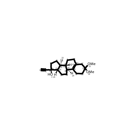 C#C[C@]1(O)CC[C@H]2[C@@H]3CCC4=C(CCC(OC)(OC)C4)[C@H]3CC[C@@H]21